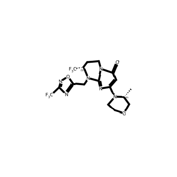 C[C@@H]1COCCN1c1cc(=O)n2c(n1)N(Cc1nc(C(F)(F)F)no1)[C@H](C(F)(F)F)CC2